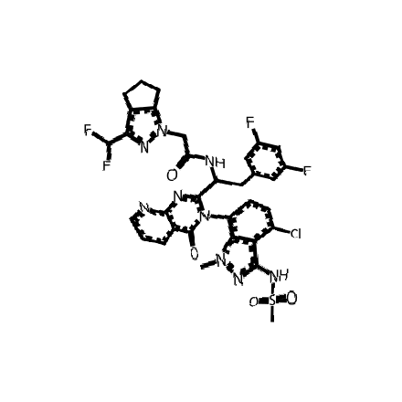 Cn1nc(NS(C)(=O)=O)c2c(Cl)ccc(-n3c(C(Cc4cc(F)cc(F)c4)NC(=O)Cn4nc(C(F)F)c5c4CCC5)nc4ncccc4c3=O)c21